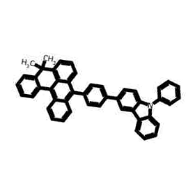 CC1(C)c2ccccc2-c2c3ccccc3c(-c3ccc(-c4ccc5c(c4)c4ccccc4n5-c4ccccc4)cc3)c3cccc1c23